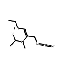 CCN/C=C(/CN=[N+]=[N-])N(C)C(C)Cl